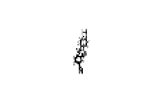 N#Cc1ccc2nc(N3CCNCC3)oc2c1